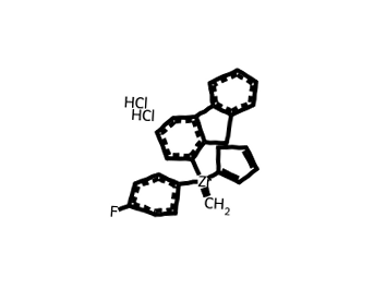 Cl.Cl.[CH2]=[Zr]([C]1=CC=CC1)([c]1ccc(F)cc1)[c]1cccc2c1Cc1ccccc1-2